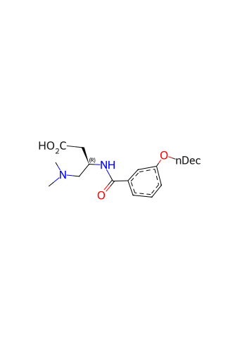 CCCCCCCCCCOc1cccc(C(=O)N[C@H](CC(=O)O)CN(C)C)c1